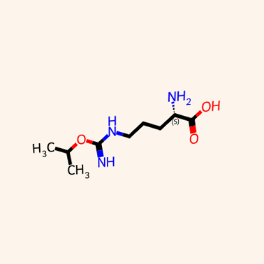 CC(C)OC(=N)NCCC[C@H](N)C(=O)O